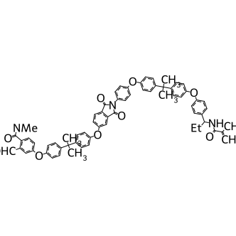 C=C(C)C(=O)NC(CC)c1ccc(Oc2ccc(C(C)(C)c3ccc(Oc4ccc(N5C(=O)c6ccc(Oc7ccc(C(C)(C)c8ccc(Oc9ccc(C(=O)NC)c(C=O)c9)cc8)cc7)cc6C5=O)cc4)cc3)cc2)cc1